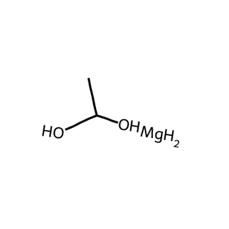 CC(O)O.[MgH2]